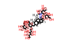 C=C1C[C@@]2(C)CCC3C(C)(CCC[C@@]3(C)C(=O)OC3OC(CO)C(O)C(O)C3OC3OC(CO)C(O)C(O)C3NC(C)=O)[C@@H]2CCC1CC1OC(CO)C(O)C(OC2OC(CO)C(O)C(O)C2O)C1OCC(O)C(O)C(O)C(O)CO